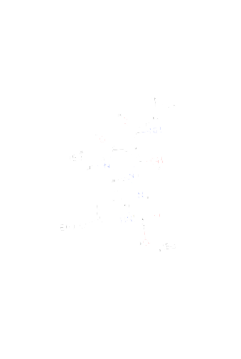 CCOC(=O)/C=C/c1c(NC(=O)OC(C)(C)C)nn2c(O)c(C(=O)NC3CC3)c(=O)n(CC(C)(C)C)c12